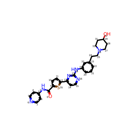 O=C(Nc1ccncc1)c1ccc(-c2ccnc(Nc3cccc(CCN4CCC(O)CC4)c3)n2)s1